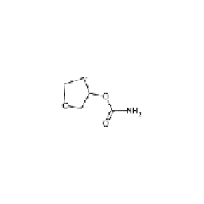 NC(=O)OC1[CH]COC1